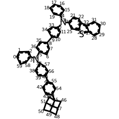 c1ccc(N(c2ccc(-c3ccc(N(c4ccccc4)c4ccc5c(c4)sc4ccccc45)cc3)cc2)c2ccc(-c3ccc(C45CC6CC7CC(C4)C765)cc3)cc2)cc1